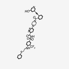 O=C(NS(=O)(=O)c1ccc(NCCSc2ccccc2)c(C(F)(F)F)c1)c1ccc(N2CCN(C(=O)c3ccccc3C#Cc3cncc(O)c3)CC2)nn1